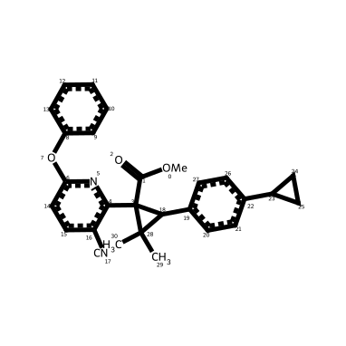 COC(=O)C1(c2nc(Oc3ccccc3)ccc2C#N)C(c2ccc(C3CC3)cc2)C1(C)C